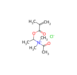 C=C(C)C(=O)OC(C)[N+](C)(C)C(C)=O.[Cl-]